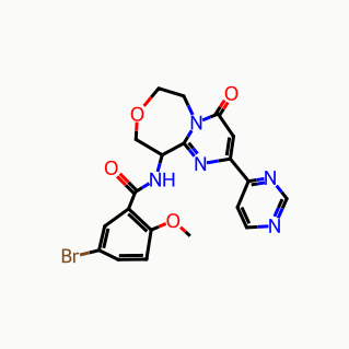 COc1ccc(Br)cc1C(=O)NC1COCCn2c1nc(-c1ccncn1)cc2=O